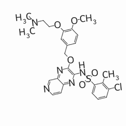 COc1ccc(COc2nc3cnccc3nc2NS(=O)(=O)c2cccc(Cl)c2C)cc1OCCN(C)C